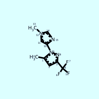 Cc1cc(C(F)(F)F)nn1-c1cn(C)cn1